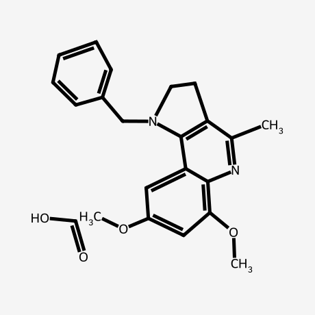 COc1cc(OC)c2nc(C)c3c(c2c1)N(Cc1ccccc1)CC3.O=CO